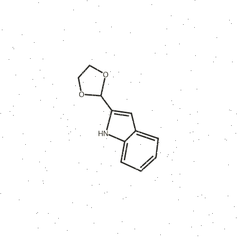 c1ccc2[nH]c(C3OCCO3)cc2c1